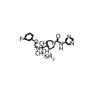 CN(SOc1cccc(F)c1)C(C)(C)C1CCN(C(=O)Nc2cncnc2)CC1.S